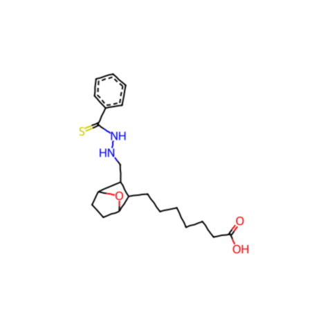 O=C(O)CCCCCCC1C2CCC(O2)C1CNNC(=S)c1ccccc1